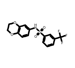 O=S(=O)(Nc1ccc2c(c1)OCCO2)c1cccc(C(F)(F)F)c1